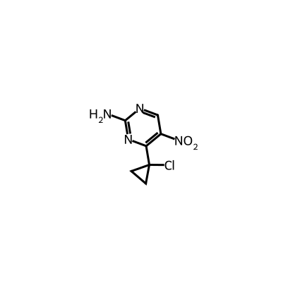 Nc1ncc([N+](=O)[O-])c(C2(Cl)CC2)n1